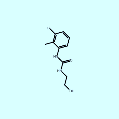 Cc1c(Cl)cccc1NC(=O)NCCO